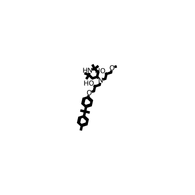 COCC(O)CN(CC(O)COc1ccc(C(C)(C)c2ccc(C)cc2)cc1)C1CC(C)(C)NC(C)(C)C1